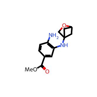 COC(=O)c1ccc(N)c(NC23COC(C2)C3)c1